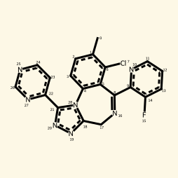 Cc1ccc2c(c1Cl)C(c1ncccc1F)=NCc1nnc(-c3ccncn3)n1-2